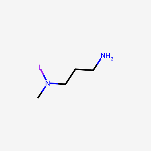 CN(I)CCCN